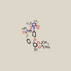 CCCN(CCC)C(=O)SCc1ccccc1.CCc1ccc(COc2ccc(-n3c(=O)cc(C(F)(F)F)n(C)c3=O)cc2)c(OC(C)C(=O)OC)c1